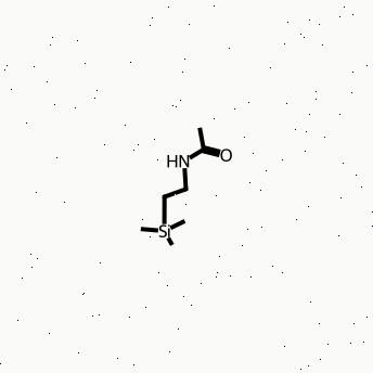 CC(=O)NCC[Si](C)(C)C